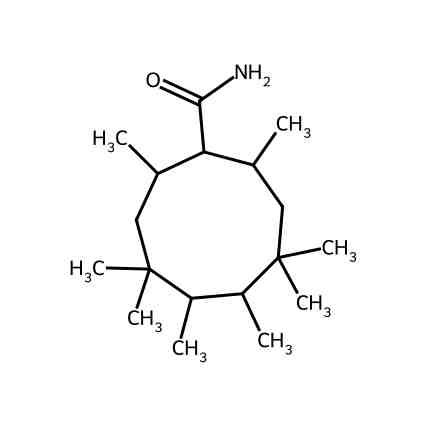 CC1CC(C)(C)C(C)C(C)C(C)(C)CC(C)C1C(N)=O